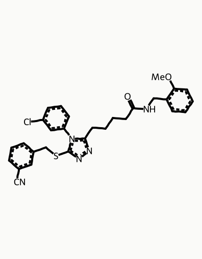 COc1ccccc1CNC(=O)CCCCc1nnc(SCc2cccc(C#N)c2)n1-c1cccc(Cl)c1